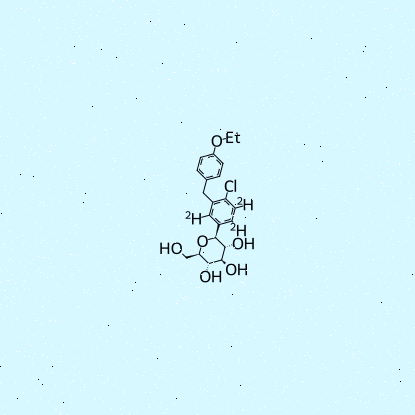 [2H]c1c([2H])c([C@@H]2O[C@H](CO)[C@@H](O)[C@H](O)[C@H]2O)c([2H])c(Cc2ccc(OCC)cc2)c1Cl